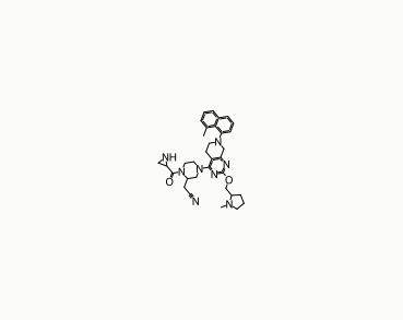 Cc1cccc2cccc(N3CCc4c(nc(OCC5CCCN5C)nc4N4CCN(C(=O)C5CN5)C(CC#N)C4)C3)c12